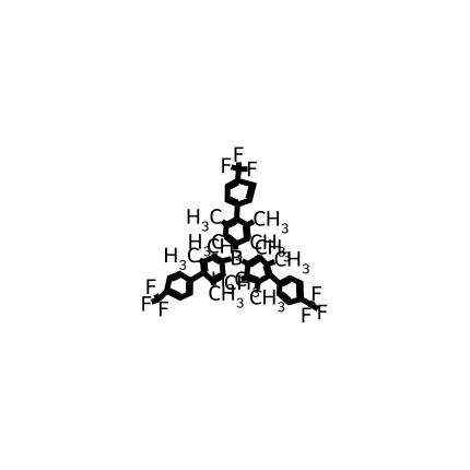 Cc1c(C)c(-c2ccc(C(F)(F)F)cc2)c(C)c(C)c1B(c1c(C)c(C)c(-c2ccc(C(F)(F)F)cc2)c(C)c1C)c1c(C)c(C)c(-c2ccc(C(F)(F)F)cc2)c(C)c1C